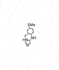 CSc1ccc(Nc2cnc[nH]2)c(F)c1